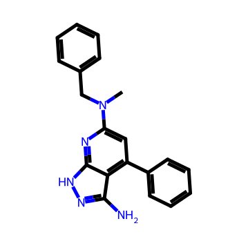 CN(Cc1ccccc1)c1cc(-c2ccccc2)c2c(N)n[nH]c2n1